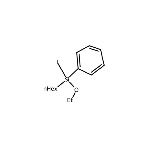 CCCCCC[Si](I)(OCC)c1ccccc1